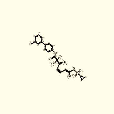 C=C(/C=C\C=C(/N)NS(=O)(=O)C1CC1)C(C)(C)C(=O)Nc1ccc(-c2cncc(Cl)c2)cc1